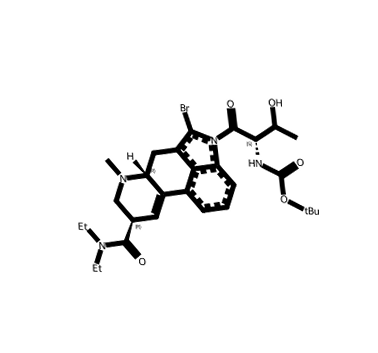 CCN(CC)C(=O)[C@@H]1C=C2c3cccc4c3c(c(Br)n4C(=O)[C@@H](NC(=O)OC(C)(C)C)C(C)O)C[C@H]2N(C)C1